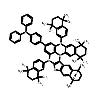 CC1(C)CCC(C)(C)c2cc(N3c4cc5c(cc4B4c6c3cc(-c3ccc(N(c7ccccc7)c7ccccc7)cc3)cc6N(c3ccc6c(c3)C(C)(C)CCC6(C)C)c3oc6cc7c(cc6c34)C3(C)CCC7(C)CC3)C(C)(C)CCC5(C)C)ccc21